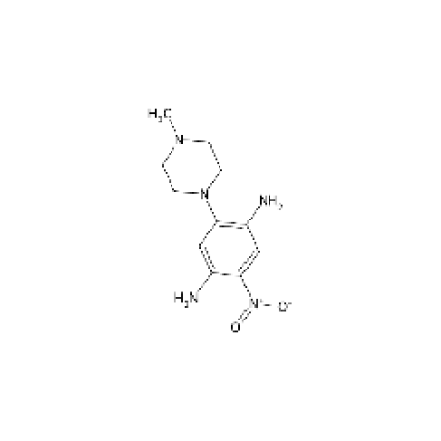 CN1CCN(c2cc(N)c([N+](=O)[O-])cc2N)CC1